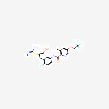 C/N=C(/N)S[C@@](C)(COC)Cc1cc(NC(=O)c2ncc(OCC(F)(F)F)cc2C)ccc1F